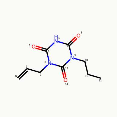 C=CCn1c(=O)[nH]c(=O)n(CCC)c1=O